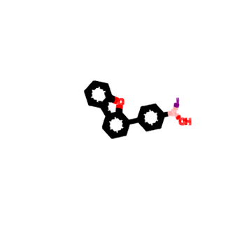 OB(I)c1ccc(-c2cccc3c2oc2ccccc23)cc1